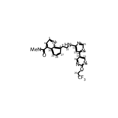 CNC(=O)c1ccnc2c(CCNc3cc(-c4cnc(OCC(F)(F)F)nc4)ncn3)cccc12